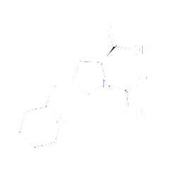 O=C(O)[C@@H]1C[C@@H](OC2CCCCO2)CN1C(=O)O